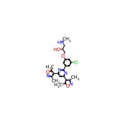 CNCC(O)COc1cc(Cl)cc(-c2nc(-c3c(C)noc3C)cc(-c3c(C)noc3C)n2)c1